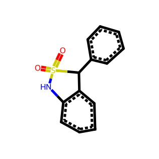 O=S1(=O)Nc2ccccc2C1c1ccccc1